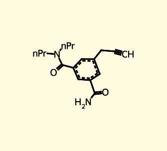 C#CCc1cc(C(N)=O)cc(C(=O)N(CCC)CCC)c1